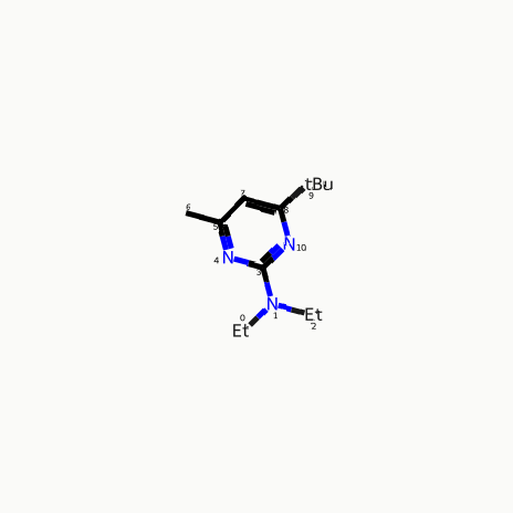 CCN(CC)c1nc(C)cc(C(C)(C)C)n1